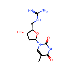 Cc1cn([C@H]2C[C@H](O)[C@@H](CNC(=N)N)O2)c(=O)[nH]c1=O